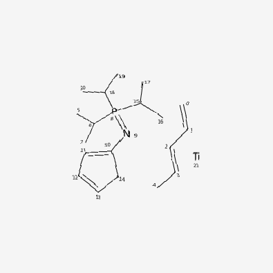 C=CC=CC.CC(C)P(=NC1=CC=CC1)(C(C)C)C(C)C.[Ti]